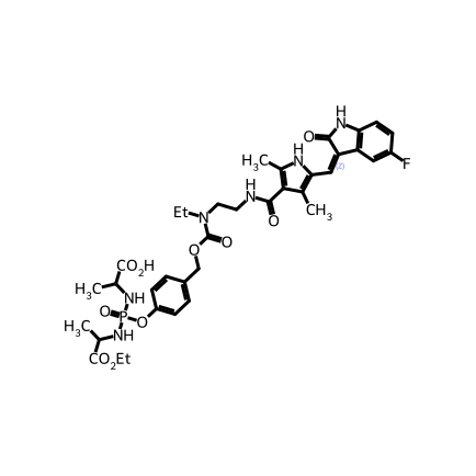 CCOC(=O)C(C)NP(=O)(NC(C)C(=O)O)Oc1ccc(COC(=O)N(CC)CCNC(=O)c2c(C)[nH]c(/C=C3\C(=O)Nc4ccc(F)cc43)c2C)cc1